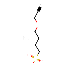 C#CCOCCCCS(=O)(=O)[O-].[Na+]